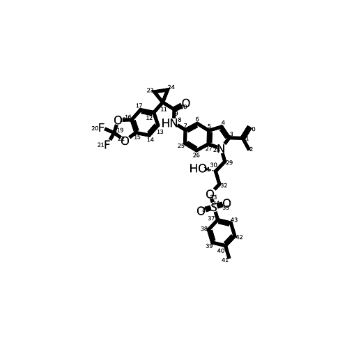 C=C(C)c1cc2cc(NC(=O)C3(c4ccc5c(c4)OC(F)(F)O5)CC3)ccc2n1C[C@@H](O)COS(=O)(=O)c1ccc(C)cc1